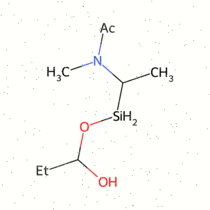 CCC(O)O[SiH2]C(C)N(C)C(C)=O